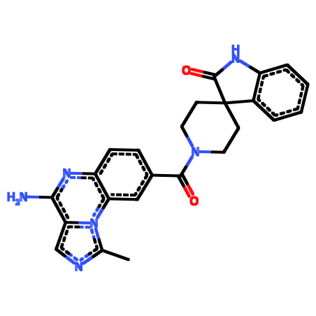 Cc1ncc2c(N)nc3ccc(C(=O)N4CCC5(CC4)C(=O)Nc4ccccc45)cc3n12